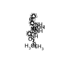 CN(C)C/C=C/C(=O)Nc1ccccc1C1CCNc2c(C(N)O)c(-c3ccc(Oc4ccccc4)cc3)nn21